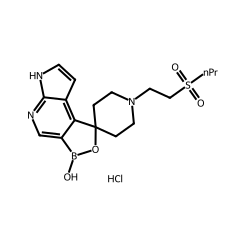 CCCS(=O)(=O)CCN1CCC2(CC1)OB(O)c1cnc3[nH]ccc3c12.Cl